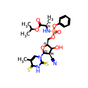 Cc1cn([C@H]2O[C@@H](CO[P@@](=O)(N[C@@H](C)C(=O)OC(C)C)Oc3ccccc3)C(O)[C@H]2C#N)c(=S)[nH]c1=S